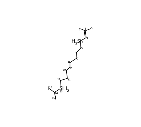 CC(C)=C[SiH2]CCCCCCCC[SiH2]C(I)I